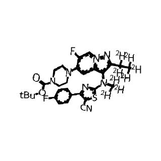 [2H]C([2H])([2H])N(c1nc(-c2ccc(F)cc2)c(C#N)s1)c1c(C([2H])([2H])C([2H])([2H])[2H])nn2cc(F)c(N3CCN(C(=O)OC(C)(C)C)CC3)cc12